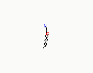 CCCc1ccc(C2CCC(C3CCC(CCC=CC=CC#N)(OC)CC3)CC2)cc1